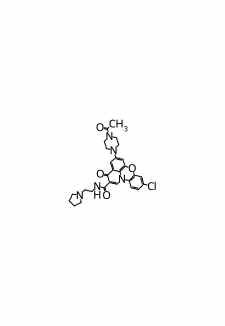 CC(=O)N1CCN(c2cc3c4c(c2)c(=O)c(C(=O)NCCN2CCCC2)cn4-c2ccc(Cl)cc2O3)CC1